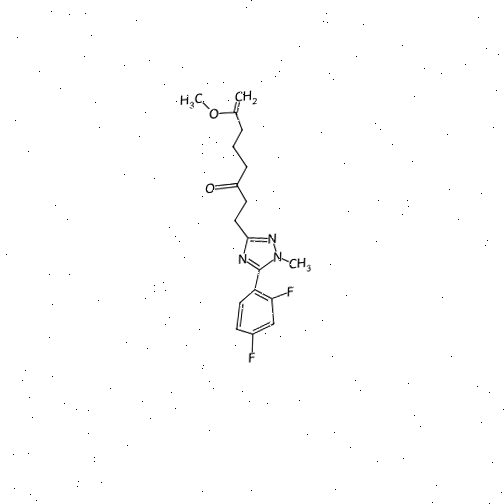 C=C(CCCC(=O)CCc1nc(-c2ccc(F)cc2F)n(C)n1)OC